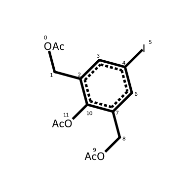 CC(=O)OCc1cc(I)cc(COC(C)=O)c1OC(C)=O